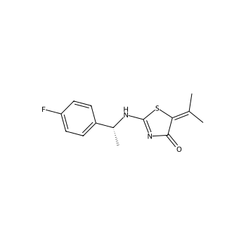 CC(C)=C1SC(N[C@H](C)c2ccc(F)cc2)=NC1=O